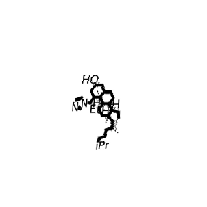 [CH2]CC(C1C[C@H](O)CC2=CC[C@H]3[C@@H]4CC[C@H]([C@H](C)CCCC(C)C)[C@@]4(C)CC[C@@H]3[C@]21C)n1ccnc1